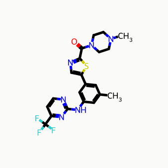 Cc1cc(Nc2nccc(C(F)(F)F)n2)cc(-c2cnc(C(=O)N3CCN(C)CC3)s2)c1